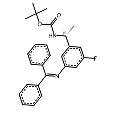 C[C@@H](NC(=O)OC(C)(C)C)c1cc(F)cc(N=C(c2ccccc2)c2ccccc2)c1